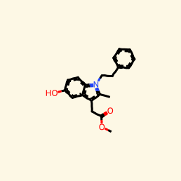 COC(=O)Cc1c(C)n(CCc2ccccc2)c2ccc(O)cc12